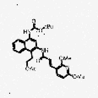 COc1ccc(C=CC(=O)Nc2cc(NC(=O)OC(C)(C)C)c3ccccc3c2CCOC(C)=O)c(OC)n1